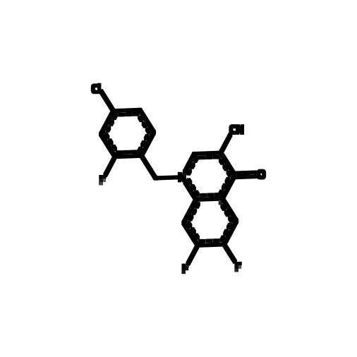 N#Cc1cn(Cc2ccc(Cl)cc2F)c2cc(F)c(F)cc2c1=O